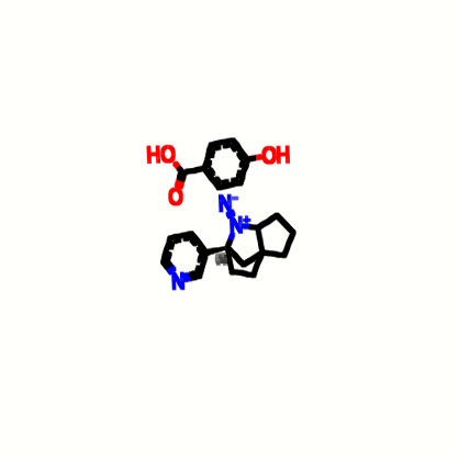 O=C(O)c1ccc(O)cc1.[N-]=[N+]1C2CCCC23CC[C@@]1(c1cccnc1)C3